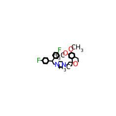 CCC1(CCN2CCN(CC(c3ccc(F)cc3)c3ccc(F)cc3)CC2)OCCc2cc(OC)c(OC)cc21